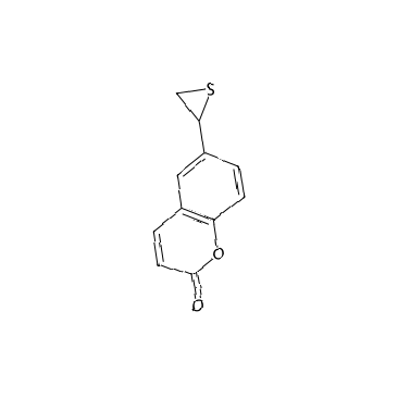 O=c1ccc2cc(C3CS3)ccc2o1